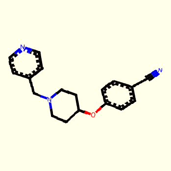 N#Cc1ccc(OC2CCN(Cc3ccncc3)CC2)cc1